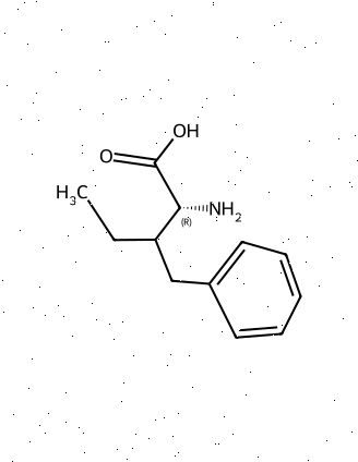 CCC(Cc1ccccc1)[C@@H](N)C(=O)O